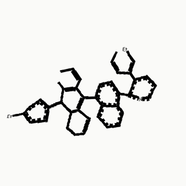 C/C=C\C1=C(C)C(c2ccc(CC)cc2)C2CCC=CC2=C1c1ccc(-c2ncccc2C(/C=C\C)=C/CC)c2ccccc12